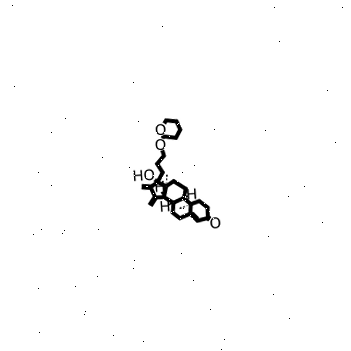 C=C1C(=C)C(O)(CCCOC2CCCCO2)[C@@]2(C)CC[C@@H]3[C@@H](CCC4=CC(=O)CC[C@@]43C)[C@H]12